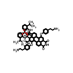 CC(C)c1cccc(C(C)C)c1NC(=N)c1c(C(=O)O)c(Oc2ccc(CCN)cc2)c2c3ccc4c5c(cc(Oc6ccc(CCN)cc6)c(c6ccc(C(=O)Nc7c(C(C)C)cccc7C(C)C)c1c62)c53)C(=O)NC4=O